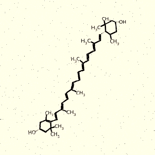 CC1=C(/C=C/C(C)=C/C=C/C(C)=C/C=C/C=C(C)/C=C/C=C(C)/C=C/[C@H]2C(C)C[C@@H](O)CC2(C)C)C(C)(C)C[C@H](O)C1